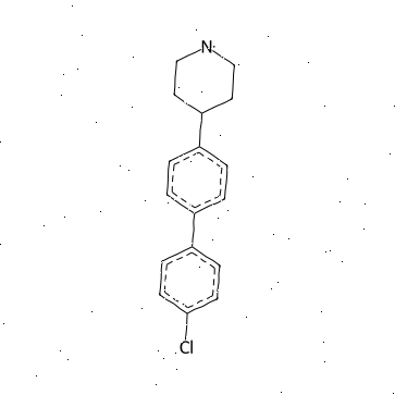 Clc1ccc(-c2ccc(C3CC[N]CC3)cc2)cc1